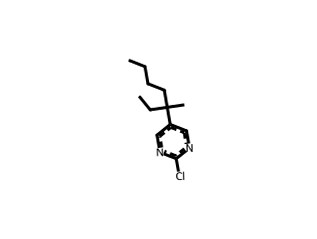 CCCCC(C)(CC)c1cnc(Cl)nc1